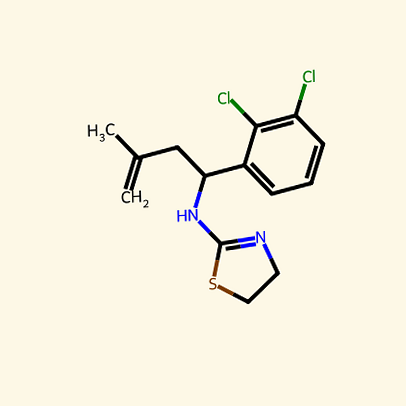 C=C(C)CC(NC1=NCCS1)c1cccc(Cl)c1Cl